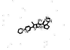 Cc1c(-c2ccc(N3CCCCC3)nc2)sc2[nH]c(-c3cn4ncnc4c4c3CCC4)c(C(C)C)c12